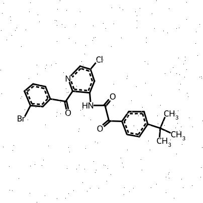 CC(C)(C)c1ccc(C(=O)C(=O)Nc2cc(Cl)cnc2C(=O)c2cccc(Br)c2)cc1